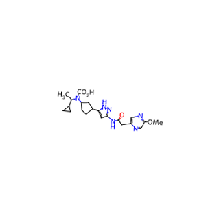 COc1cnc(CC(=O)Nc2cc([C@H]3CC[C@@H](N(C(=O)O)C(C)C4CC4)C3)[nH]n2)cn1